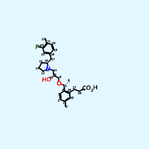 Cc1ccc([C@@H](C)OC[C@H](O)CN2CCC[C@H]2Cc2ccc(C)c(F)c2)c(CCC(=O)O)c1